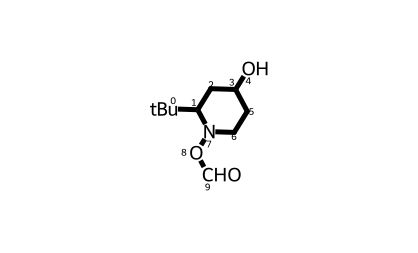 CC(C)(C)C1CC(O)CCN1OC=O